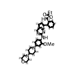 CCS(=O)(=O)Nc1ccccc1-c1ccc2cnc(Nc3ccc(N4CCC(N5CCOCC5)CC4)cc3OC)nn12